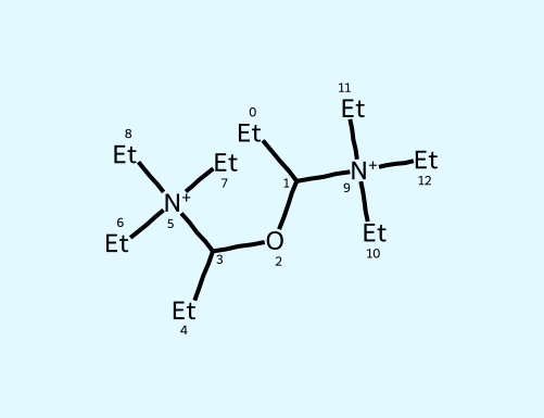 CCC(OC(CC)[N+](CC)(CC)CC)[N+](CC)(CC)CC